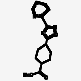 COC(=O)[C@H]1CC[C@H](c2nc(-c3ccccn3)no2)CC1